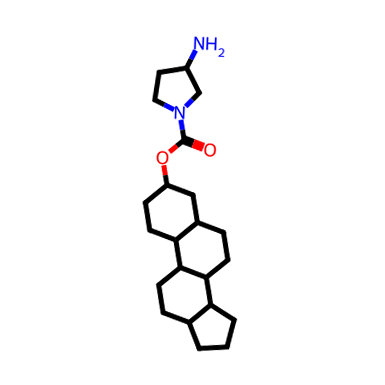 NC1CCN(C(=O)OC2CCC3C(CCC4C5CCCC5CCC34)C2)C1